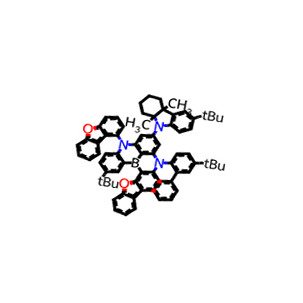 CC(C)(C)c1ccc2c(c1)B1c3c(cc(N4c5ccc(C(C)(C)C)cc5C5(C)CCCCC45C)cc3N2c2cccc3oc4ccccc4c23)N(c2ccc(C(C)(C)C)cc2-c2ccccc2)c2ccc3c(oc4ccccc43)c21